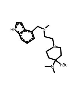 CCCCC1(N(C)C)CCN(CCN(C)Cc2cccc3[nH]ccc23)CC1